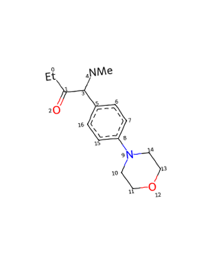 CCC(=O)C(NC)c1ccc(N2CCOCC2)cc1